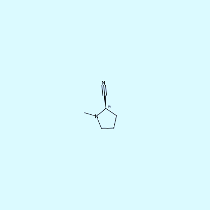 CN1CCC[C@@H]1C#N